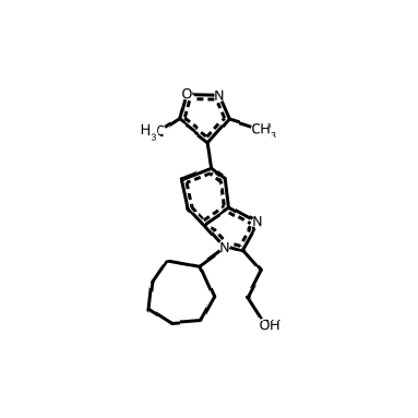 Cc1noc(C)c1-c1ccc2c(c1)nc(CCO)n2C1CCCCCC1